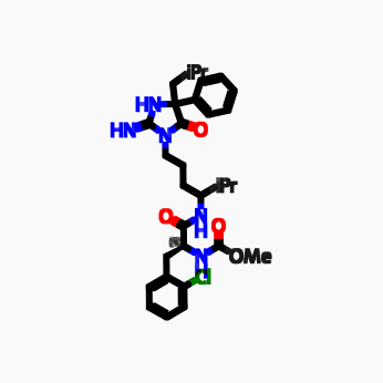 COC(=O)N[C@@H](Cc1ccccc1Cl)C(=O)NC(CCCN1C(=N)NC(CC(C)C)(c2ccccc2)C1=O)C(C)C